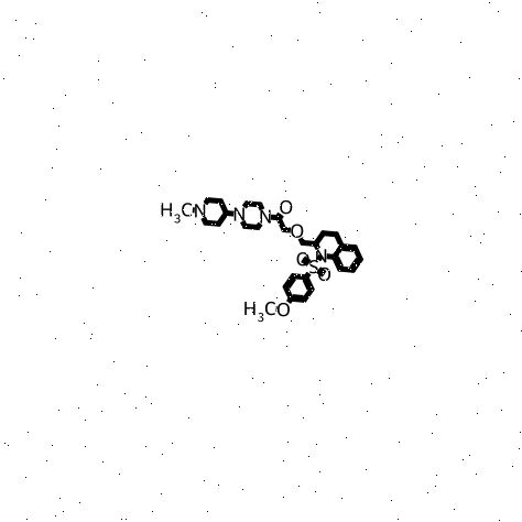 COc1ccc(S(=O)(=O)N2c3ccccc3CCC2COCC(=O)N2CCN(C3CCN(C)CC3)CC2)cc1